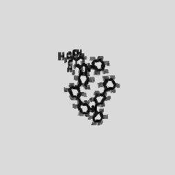 CC(C)(C)c1ccc2c(c1)c1cc(-c3cccc(-c4cccc(N(c5ccccc5)c5ccc(-c6ccccc6)cc5)c4)c3)ccc1n2-c1ccccc1